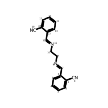 N#Cc1ccccc1C=NCCN=Cc1ccccc1C#N